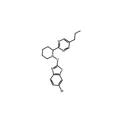 CCCc1cnc(C2CCCCN2Oc2nc3ccc(Br)cc3s2)nc1